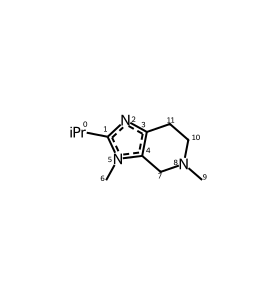 CC(C)c1nc2c(n1C)CN(C)CC2